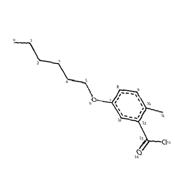 CCCCCCOc1ccc(C)c(C(=O)Cl)c1